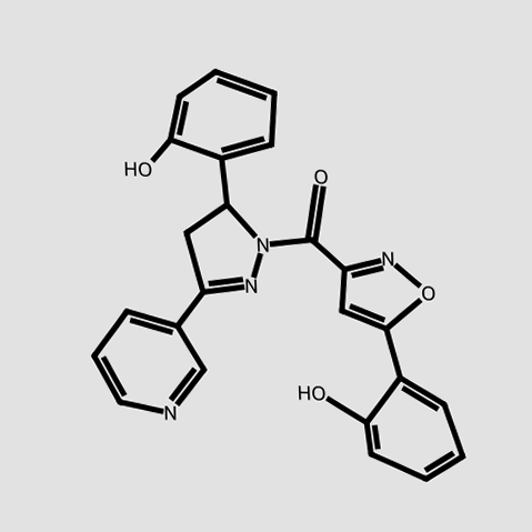 O=C(c1cc(-c2ccccc2O)on1)N1N=C(c2cccnc2)CC1c1ccccc1O